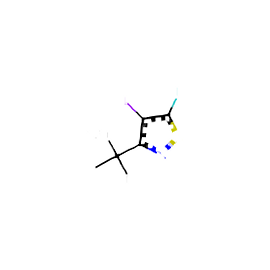 CCCCC(C)(CCC)c1nsc(F)c1I